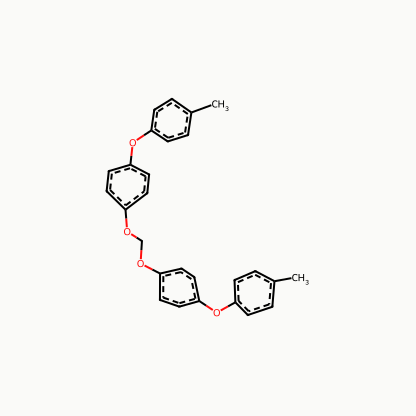 Cc1ccc(Oc2ccc(OCOc3ccc(Oc4ccc(C)cc4)cc3)cc2)cc1